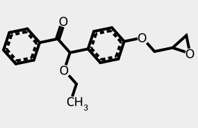 CCOC(C(=O)c1ccccc1)c1ccc(OCC2CO2)cc1